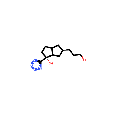 OCCC[C@@H]1CC2CC[C@](O)(c3nnn[nH]3)C2C1